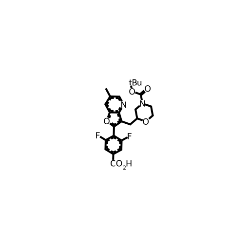 Cc1cnc2c(CC3CN(C(=O)OC(C)(C)C)CCO3)c(-c3c(F)cc(C(=O)O)cc3F)oc2c1